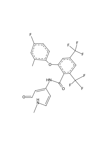 CN/C=C\C(=C/C=O)NC(=O)c1c(Oc2ccc(F)cc2C)cc(C(F)(F)F)cc1C(F)(F)F